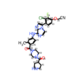 Cc1cc(Nc2nccn3c(-c4ccc(OCC#N)c(F)c4Cl)cnc23)ccc1C(=O)N1CCN(C(=O)C2CCNCC2)CC1